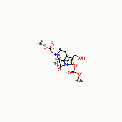 CC(C)(C)OC(=O)OC1=C(CO)C2CCN(OC(=O)OC(C)(C)C)[C@@H]3C(=O)N1[C@H]23